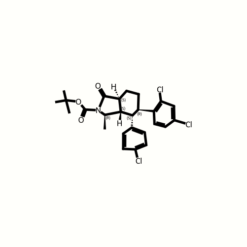 C[C@@H]1[C@H]2[C@@H](c3ccc(Cl)cc3)[C@H](c3ccc(Cl)cc3Cl)CC[C@@H]2C(=O)N1C(=O)OC(C)(C)C